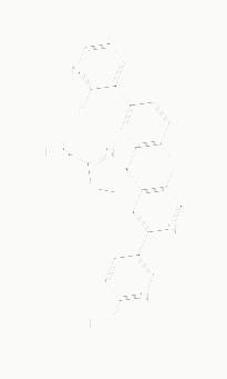 Cc1ccc(-c2cc3c(cn2)Oc2ccc(-c4cccnc4F)cc2[C@@]32COC(N)=N2)cn1